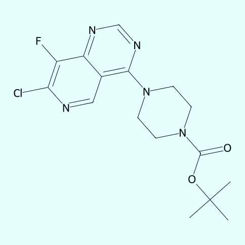 CC(C)(C)OC(=O)N1CCN(c2ncnc3c(F)c(Cl)ncc23)CC1